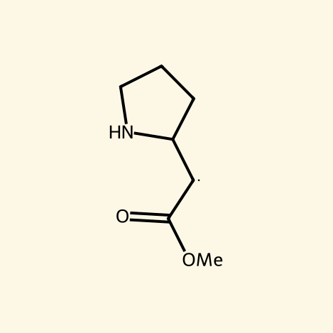 COC(=O)[CH]C1CCCN1